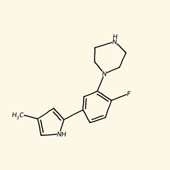 Cc1c[nH]c(-c2ccc(F)c(N3CCNCC3)c2)c1